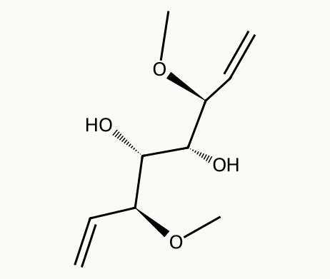 C=C[C@H](OC)[C@H](O)[C@@H](O)[C@H](C=C)OC